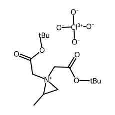 CC1C[N+]1(CC(=O)OC(C)(C)C)CC(=O)OC(C)(C)C.[O-][Cl+3]([O-])([O-])[O-]